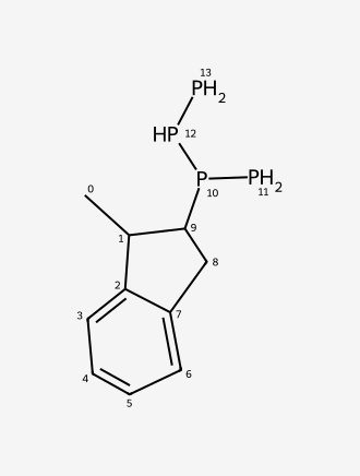 CC1c2ccccc2CC1P(P)PP